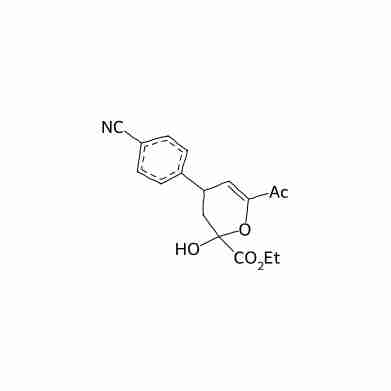 CCOC(=O)C1(O)CC(c2ccc(C#N)cc2)C=C(C(C)=O)O1